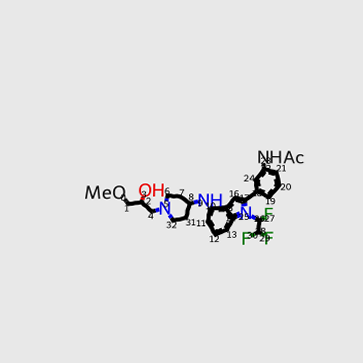 COCC(O)CN1CCC(Nc2cccc3c2cc(-c2cccc(NC(C)=O)c2)n3C(F)C(F)F)CC1